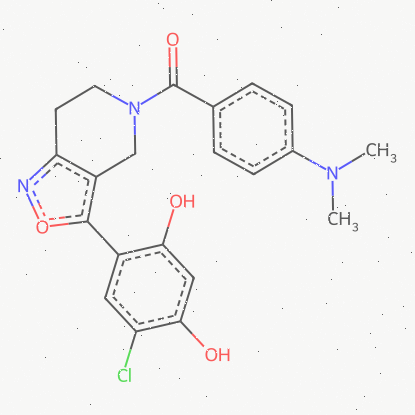 CN(C)c1ccc(C(=O)N2CCc3noc(-c4cc(Cl)c(O)cc4O)c3C2)cc1